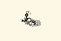 Cc1nn(C2=C/C(=N)Nc3c(c(-c4ccc(C(F)(F)F)cc4)nn3CC3CC3)C/C=N\2)c(C)c1C(C)(C)O